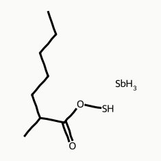 CCCCCC(C)C(=O)OS.[SbH3]